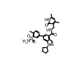 Cc1cc(C)c(CNC(=O)c2cc(-c3ccc(C)c(S(N)(=O)=O)c3)cc3c2cnn3C2CCCC2)c(=O)[nH]1